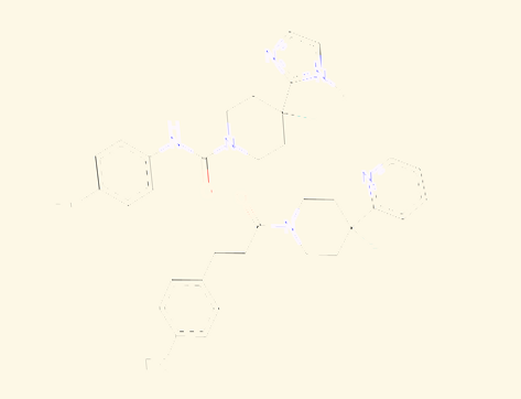 Cn1ccnc1C1(F)CCN(C(=O)Nc2ccc(C(F)(F)F)cc2)CC1.O=C(CCc1ccc(C(F)(F)F)cc1)N1CCC(F)(c2ccccn2)CC1